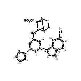 O=C(O)C1C2CCC(CC2)C1Nc1cc(-n2cccc2)nc(-c2c[nH]c3ncc(Cl)nc23)n1